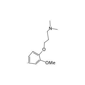 COc1c[c]ccc1OCCCN(C)C